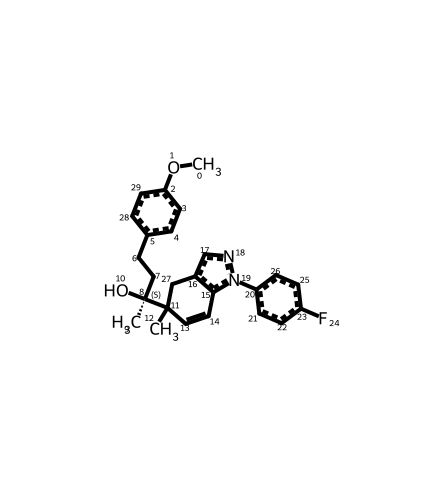 COc1ccc(CC[C@](C)(O)C2(C)C=Cc3c(cnn3-c3ccc(F)cc3)C2)cc1